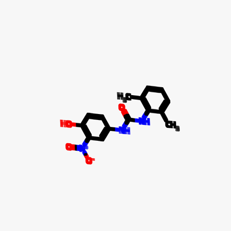 Cc1cccc(C)c1NC(=O)Nc1ccc(O)c([N+](=O)[O-])c1